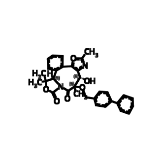 Cc1nc2c(o1)-c1ccccc1[C@@H]1N(C(=O)OC1(C)C)C(=O)[C@@](C)(OCc1ccc(-c3ccccc3)cc1)[C@H]2O